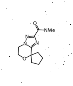 CNC(=O)c1nc2n(n1)CCOC21CCCC1